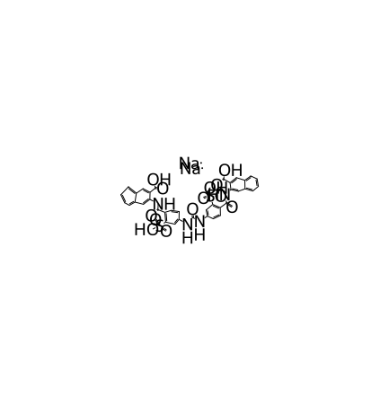 O=C(Nc1ccc(C(=O)Nc2cc3ccccc3cc2C(=O)O)c(S(=O)(=O)O)c1)Nc1ccc(C(=O)Nc2cc3ccccc3cc2C(=O)O)c(S(=O)(=O)O)c1.[Na].[Na]